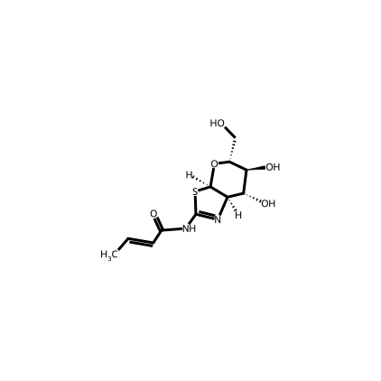 CC=CC(=O)NC1=N[C@@H]2[C@@H](O)[C@H](O)[C@@H](CO)O[C@@H]2S1